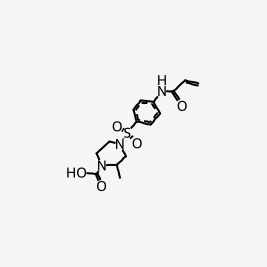 C=CC(=O)Nc1ccc(S(=O)(=O)N2CCN(C(=O)O)C(C)C2)cc1